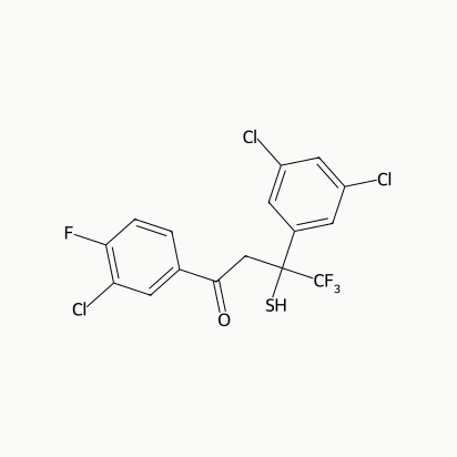 O=C(CC(S)(c1cc(Cl)cc(Cl)c1)C(F)(F)F)c1ccc(F)c(Cl)c1